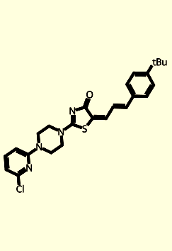 CC(C)(C)c1ccc(C=CC=C2SC(N3CCN(c4cccc(Cl)n4)CC3)=NC2=O)cc1